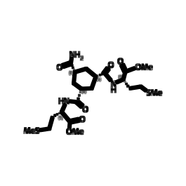 COC(=O)[C@H](CCSC)NC(=O)[C@@H]1C[C@H](C(N)=O)C[C@H](C(=O)N[C@@H](CCSC)C(=O)OC)C1